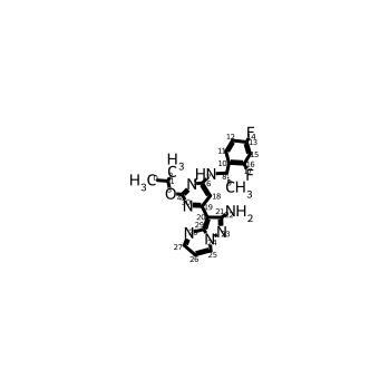 CC(C)Oc1nc(N[C@@H](C)c2ccc(F)cc2F)cc(-c2c(N)nn3cccnc23)n1